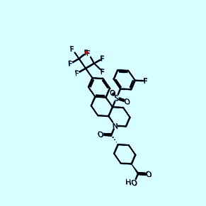 O=C(O)[C@H]1CC[C@H](C(=O)N2CCCC3(S(=O)(=O)c4cccc(F)c4)c4ccc(C(F)(C(F)(F)F)C(F)(F)F)cc4CCC23)CC1